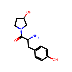 N[C@@H](Cc1ccc(O)cc1)C(=O)N1CC[C@@H](O)C1